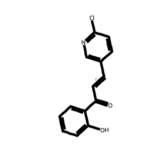 O=C(/C=C/c1ccc(Cl)nc1)c1ccccc1O